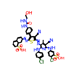 Cc1c(C#N)c(Nc2ccc(Cl)c(S(=O)(=O)O)c2)nc(Nc2ccc(Cl)cc2)c1N=Nc1sc(N=Nc2ccc3cccc(S(=O)(=O)O)c3c2)c(-c2ccc(NC(=O)NCCO)cc2)c1C#N